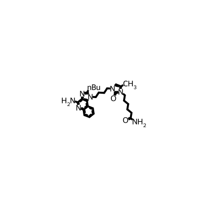 CCCCc1nc2c(N)nc3ccccc3c2n1CCCCn1cc(C)n(CCCCCC(N)=O)c1=O